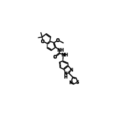 COc1c(NC(=O)Nc2ccc3[nH]c(-c4cscn4)nc3c2)ccc2c1C=CC(C)(C)O2